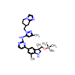 Cc1cc(Nc2nccc(-c3cc(C#N)c4c(c3)[C@@](C)(CO[Si](C)(C)C(C)(C)C)CN4)n2)n(CC2CCn3ccnc3C2)n1